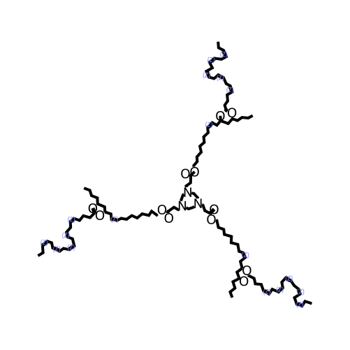 CC/C=C\C/C=C\C/C=C\C/C=C\C/C=C\CCCC(=O)OC(C/C=C\CCCCCCCCOC(=O)CCN1CCN(CCC(=O)OCCCCCCCC/C=C\CC(CCCCCC)OC(=O)CCC/C=C\C/C=C\C/C=C\C/C=C\C/C=C\CC)CCN(CCC(=O)OCCCCCCCC/C=C\CC(CCCCCC)OC(=O)CCC/C=C\C/C=C\C/C=C\C/C=C\C/C=C\CC)CC1)CCCCCC